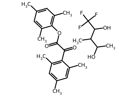 CC(O)C(C)C(O)C(F)(F)F.Cc1cc(C)c(OC(=O)C(=O)c2c(C)cc(C)cc2C)c(C)c1